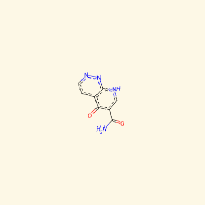 NC(=O)c1c[nH]c2nnccc2c1=O